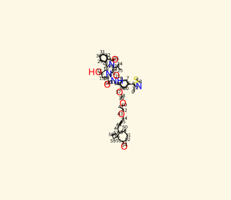 Cc1ncsc1-c1ccc(CNC(=O)[C@@H]2CC(O)CN2C(=O)[C@H](C(C)C)N2Cc3ccccc3C2=O)c(OCCOCCOCC#CCC2C(C)CCC(=O)CC23C=CC3)c1